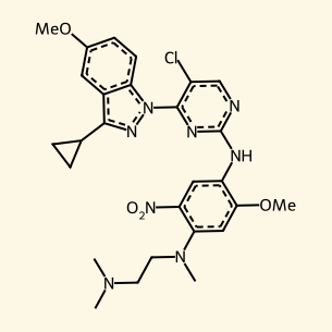 COc1ccc2c(c1)c(C1CC1)nn2-c1nc(Nc2cc([N+](=O)[O-])c(N(C)CCN(C)C)cc2OC)ncc1Cl